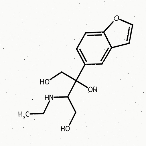 CCNC(CO)C(O)(CO)c1ccc2occc2c1